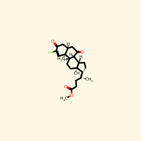 COC(=O)CC[C@@H](C)[C@H]1CC[C@H]2[C@@H]3C(=O)C[C@@H]4CC(=O)C(F)=C[C@]4(C)[C@H]3CC[C@]12C